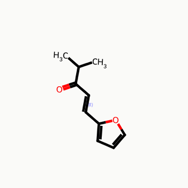 CC(C)C(=O)/C=C/c1ccco1